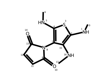 CNc1sc(NC)c(N2C(=O)C=CC2=O)c1NC